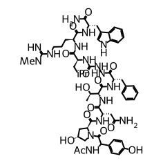 CNC(=N)NCCC[C@H](NC(=O)[C@H](CC(C)C)NC(=O)NNC(=O)[C@H](Cc1ccccc1)NC(=O)[C@@H](NC(=O)[C@H](CC(N)=O)NC(=O)[C@@H]1C[C@@H](O)CN1C(=O)C(NC(C)=O)c1ccc(O)cc1)[C@@H](C)O)C(=O)N[C@@H](Cc1c[nH]c2ccccc12)C(N)=O